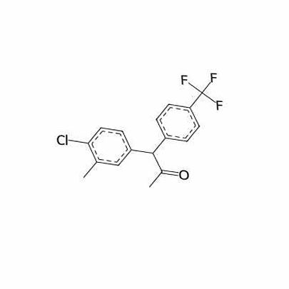 CC(=O)C(c1ccc(C(F)(F)F)cc1)c1ccc(Cl)c(C)c1